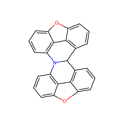 c1cc2c3c(c1)oc1cccc(c13)N1c3cccc4oc5cccc(c5c34)C21